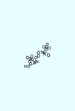 O=C1c2ccccc2C(=O)N1OCc1c(Cc2ccccc2)ncn1Cc1cccc(Oc2cccc(-c3ncn(Cc4cccc(O)c4)c3CON3C(=O)c4ccccc4C3=O)c2)c1